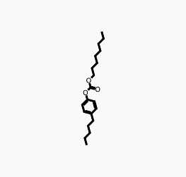 CCCCCCCCOC(=O)Oc1ccc(CCCCC)cc1